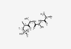 CCC[C@H](NC(=O)[C@@H](NC(=O)[C@@H](N)C(C)C)C(C)C)C(=O)N(C)[C@@H](C)P(=O)(O)O